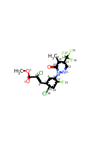 COC(=O)C(Cl)=Cc1cc(-n2ncc(C(F)(F)F)c(C)c2=O)c(F)cc1Cl